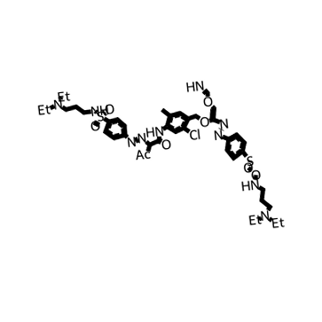 CCN(CC)CCCNOOSc1ccc(N=N/C(=C/OC=N)OCc2cc(C)c(NC(=O)C(N=Nc3ccc(S(=O)(=O)NCCCN(CC)CC)cc3)C(C)=O)cc2Cl)cc1